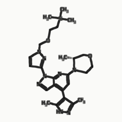 Cc1[nH]nc(C(F)(F)F)c1-c1cc(N2CCOC[C@H]2C)nc2c1cnn2-c1ccn(COCC[Si](C)(C)C)n1